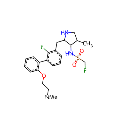 CNCCOc1ccccc1-c1cccc(CC2NCC(C)C2NS(=O)(=O)CF)c1F